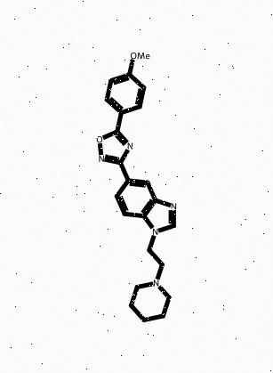 COc1ccc(-c2nc(-c3ccc4c(c3)ncn4CCN3CCCCC3)no2)cc1